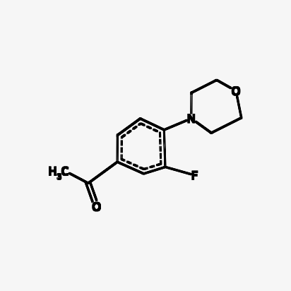 CC(=O)c1ccc(N2CCOCC2)c(F)c1